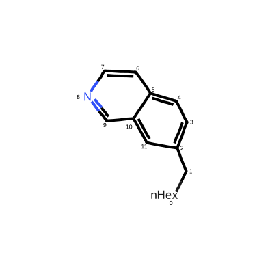 CCCCCCCc1ccc2ccncc2c1